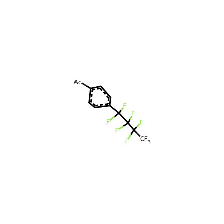 CC(=O)c1ccc(C(F)(F)C(F)(F)C(F)(F)C(F)(F)F)cc1